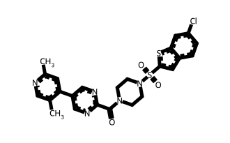 Cc1cc(-c2cnc(C(=O)N3CCN(S(=O)(=O)c4cc5ccc(Cl)cc5s4)CC3)nc2)c(C)cn1